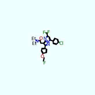 CCN(CC)C(=O)Cc1c(-c2ccc(OCCF)cc2)nn2c(-c3ccc(Cl)cc3)cc(C(F)F)nc12